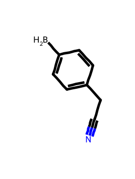 Bc1ccc(CC#N)cc1